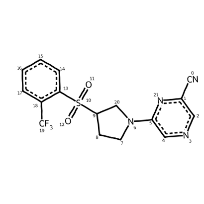 N#Cc1cncc(N2CCC(S(=O)(=O)c3ccccc3C(F)(F)F)C2)n1